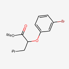 COC(=O)C(CC(C)C)Oc1cccc(Br)c1